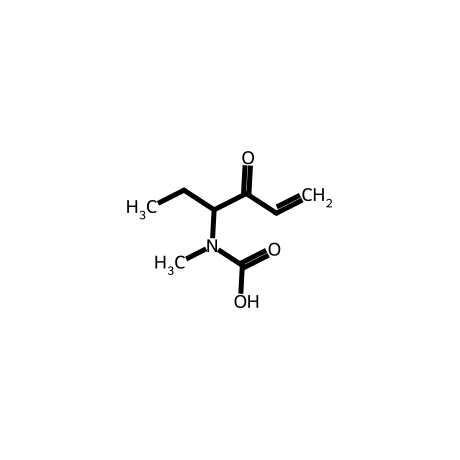 C=CC(=O)C(CC)N(C)C(=O)O